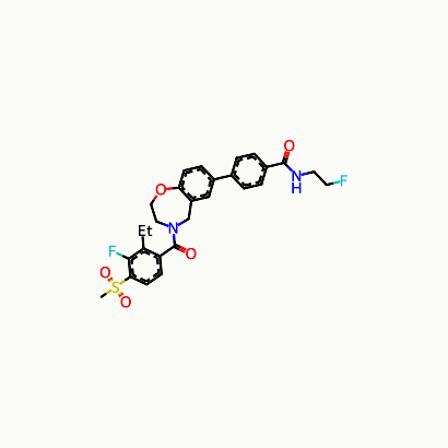 CCc1c(C(=O)N2CCOc3ccc(-c4ccc(C(=O)NCCF)cc4)cc3C2)ccc(S(C)(=O)=O)c1F